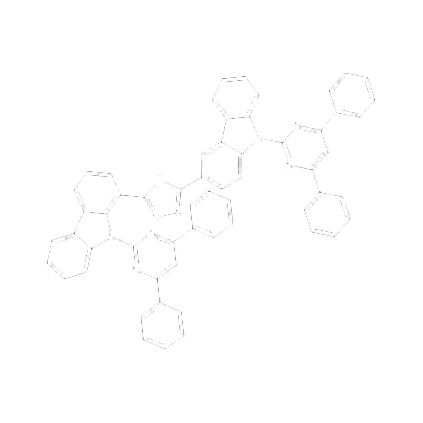 c1ccc(-c2cc(-c3ccccc3)nc(-n3c4ccccc4c4cc(-c5nnc(-c6cccc7c8ccccc8n(-c8nc(-c9ccccc9)cc(-c9ccccc9)n8)c67)o5)ccc43)n2)cc1